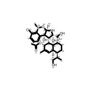 CC(=O)O[C@H]1C(C)=C[C@@H]2[C@H](C(C)CO)CC[C@@H](C)[C@]2(O)C1[C@H]1[C@@H](C(=O)O)N[C@@H]2ON(C)c3c(Cl)cccc3[C@@]21O